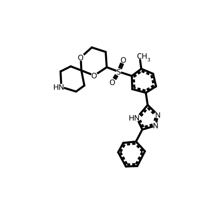 Cc1ccc(-c2nnc(-c3ccccc3)[nH]2)cc1S(=O)(=O)C1CCOC2(CCNCC2)O1